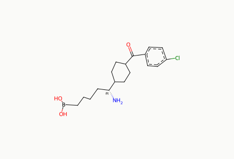 N[C@H](CCCCB(O)O)C1CCC(C(=O)c2ccc(Cl)cc2)CC1